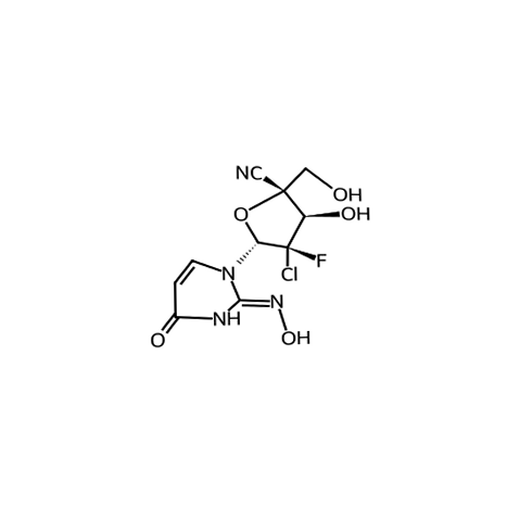 N#C[C@]1(CO)O[C@@H](n2ccc(=O)[nH]/c2=N\O)[C@@](F)(Cl)[C@@H]1O